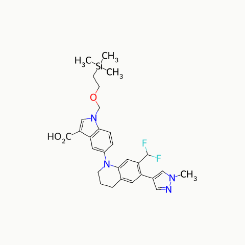 Cn1cc(-c2cc3c(cc2C(F)F)N(c2ccc4c(c2)c(C(=O)O)cn4COCC[Si](C)(C)C)CCC3)cn1